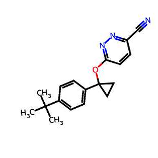 CC(C)(C)c1ccc(C2(Oc3ccc(C#N)nn3)CC2)cc1